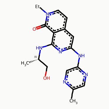 CCn1ccc2cc(Nc3cnc(C)cn3)nc(N[C@@H](C)CO)c2c1=O